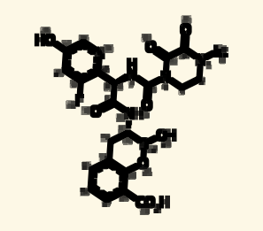 CCN1CCN(C(=O)N[C@@H](C(=O)N[C@H]2Cc3cccc(C(=O)O)c3OB2O)c2ncc(O)cc2F)C(=O)C1=O